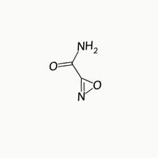 NC(=O)C1=NO1